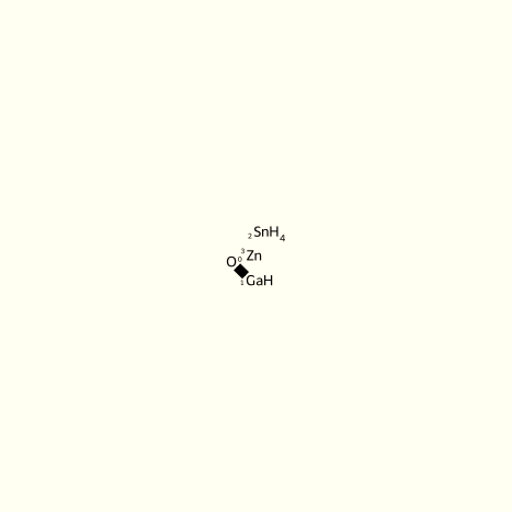 [O]=[GaH].[SnH4].[Zn]